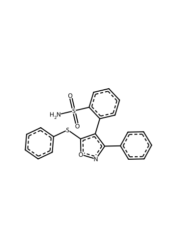 NS(=O)(=O)c1ccccc1-c1c(-c2ccccc2)noc1Sc1ccccc1